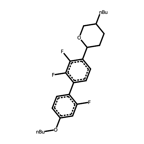 CCCCOc1ccc(-c2ccc(C3CCC(CCCC)CO3)c(F)c2F)c(F)c1